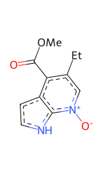 CCc1c[n+]([O-])c2[nH]ccc2c1C(=O)OC